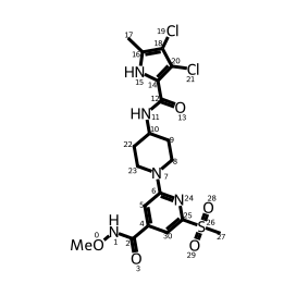 CONC(=O)c1cc(N2CCC(NC(=O)c3[nH]c(C)c(Cl)c3Cl)CC2)nc(S(C)(=O)=O)c1